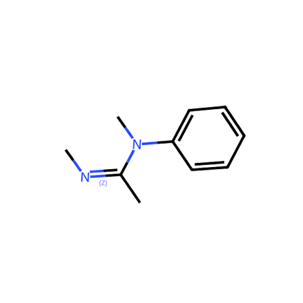 C/N=C(/C)N(C)c1ccccc1